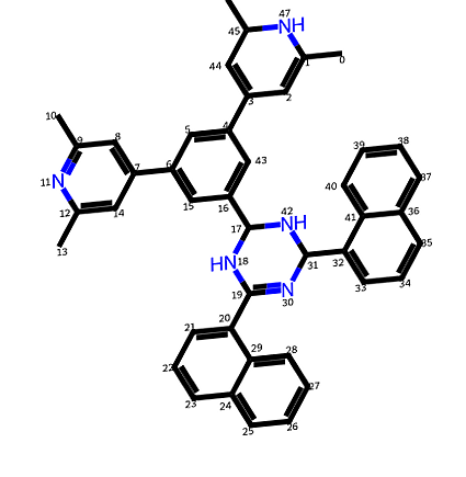 CC1=CC(c2cc(-c3cc(C)nc(C)c3)cc(C3NC(c4cccc5ccccc45)=NC(c4cccc5ccccc45)N3)c2)=CC(C)N1